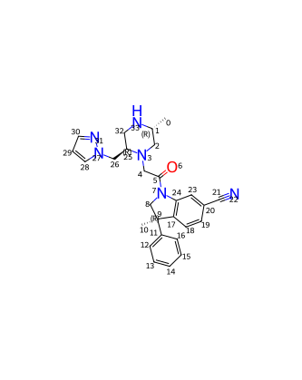 C[C@@H]1CN(CC(=O)N2C[C@](C)(c3ccccc3)c3ccc(C#N)cc32)[C@@H](Cn2cccn2)CN1